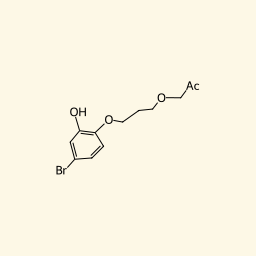 CC(=O)COCCCOc1ccc(Br)cc1O